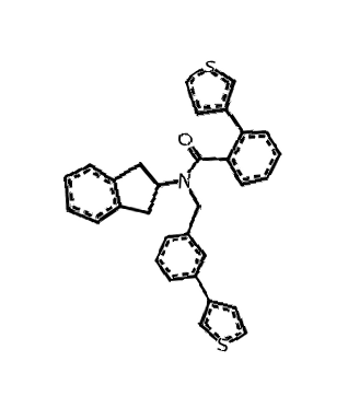 O=C(c1ccccc1-c1ccsc1)N(Cc1cccc(-c2ccsc2)c1)C1Cc2ccccc2C1